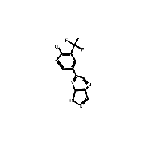 CC(F)(F)c1cc(-c2cnc3cn[nH]c3n2)ccc1Cl